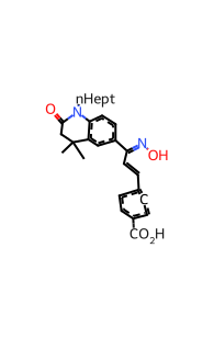 CCCCCCCN1C(=O)CC(C)(C)c2cc(C(C=Cc3ccc(C(=O)O)cc3)=NO)ccc21